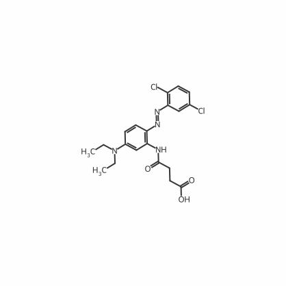 CCN(CC)c1ccc(N=Nc2cc(Cl)ccc2Cl)c(NC(=O)CCC(=O)O)c1